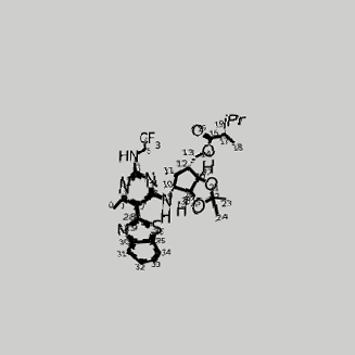 Cc1nc(NCC(F)(F)F)nc(N[C@@H]2C[C@H](COC(=O)[C@@H](C)C(C)C)[C@H]3OC(C)(C)O[C@H]32)c1-c1nc2ccccc2s1